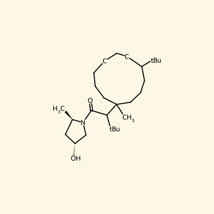 C[C@@H]1C[C@@H](O)CN1C(=O)C(C(C)(C)C)C1(C)CCCCCCC(C(C)(C)C)CCC1